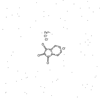 O=c1c(=O)c2ccccc2c1=O.[Cl-].[Cl-].[Cl-].[Fe+3]